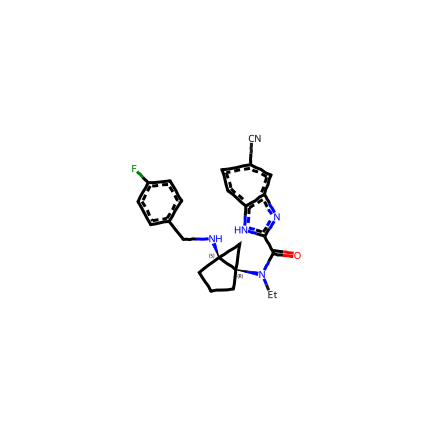 CCN(C(=O)c1nc2cc(C#N)ccc2[nH]1)[C@@]12CCC[C@]1(NCc1ccc(F)cc1)C2